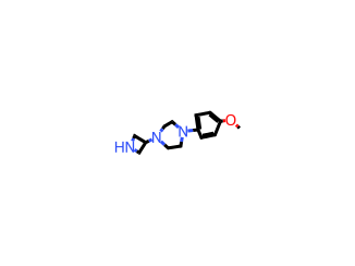 COc1ccc(N2CCN(C3CNC3)CC2)cc1